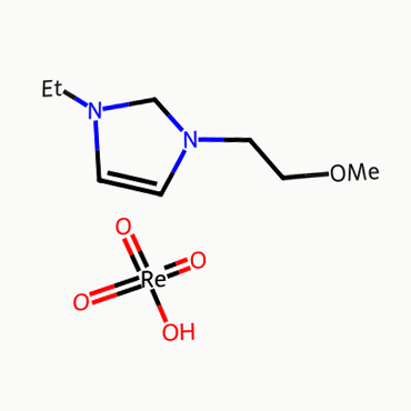 CCN1C=CN(CCOC)C1.[O]=[Re](=[O])(=[O])[OH]